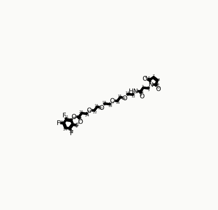 O=C(CCN1C(=O)C=CC1=O)NCCOCCOCCOCCOCCC(=O)Oc1c(F)c(F)cc(F)c1F